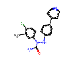 NC(=O)N(Nc1ccc(-c2ccncc2)cc1)c1ccc(Cl)c(C(F)(F)F)c1